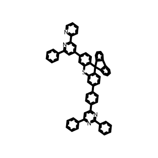 c1ccc(-c2cc(-c3ccc4c(c3)Sc3cc(-c5ccc(-c6cc(-c7ccccc7)nc(-c7ccccc7)n6)cc5)ccc3C43c4ccccc4-c4ccccc43)cc(-c3ccccn3)n2)cc1